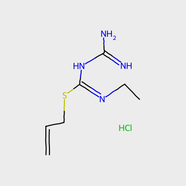 C=CCSC(=NCC)NC(=N)N.Cl